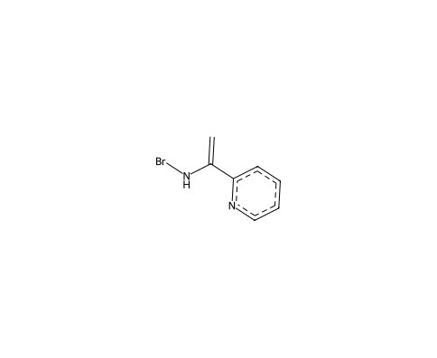 C=C(NBr)c1ccccn1